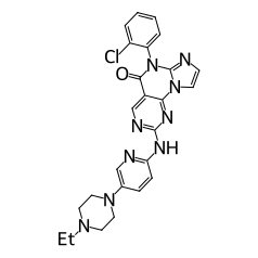 CCN1CCN(c2ccc(Nc3ncc4c(=O)n(-c5ccccc5Cl)c5nccn5c4n3)nc2)CC1